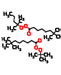 CC(C)(C)CCCCCC(=O)OOC(C)(C)C.CCCC(C)(C)OOC(=O)CCCCCC(C)(C)C